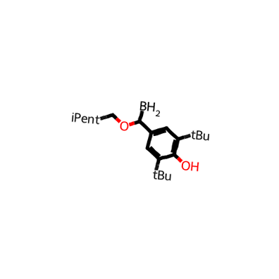 BC(OCC(C)CCC)c1cc(C(C)(C)C)c(O)c(C(C)(C)C)c1